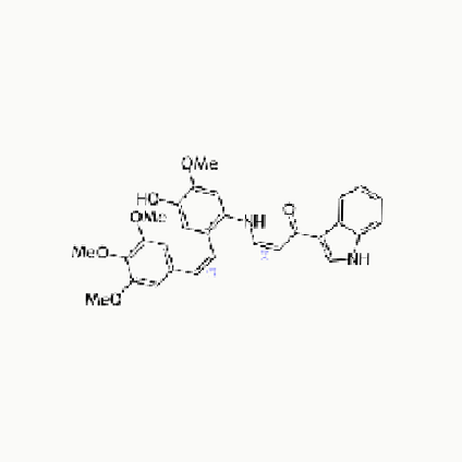 COc1cc(N/C=C\C(=O)c2c[nH]c3ccccc23)c(/C=C\c2cc(OC)c(OC)c(OC)c2)cc1O